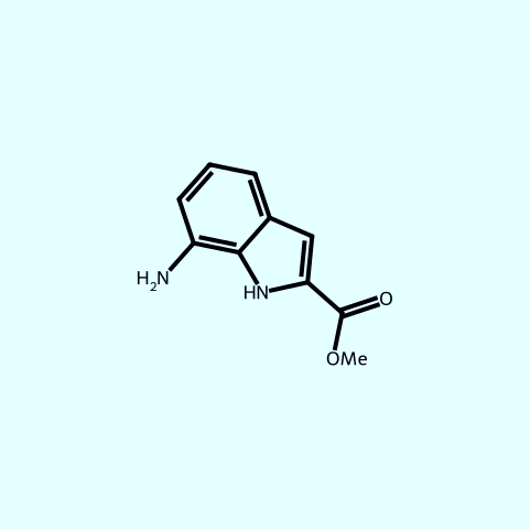 COC(=O)c1cc2cccc(N)c2[nH]1